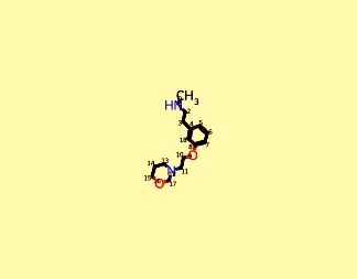 CNCCc1cccc(OCCN2CCCOC2)c1